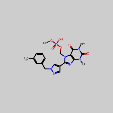 CCCn1c(=O)c2c(nc(-c3cnn(Cc4cccc(C(F)(F)F)c4)c3)n2COP(=O)(O)OC(C)C)n(CC)c1=O